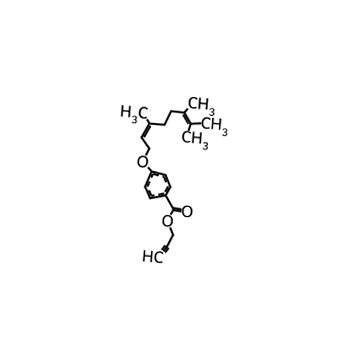 C#CCOC(=O)c1ccc(OCC=C(C)CCC(C)=C(C)C)cc1